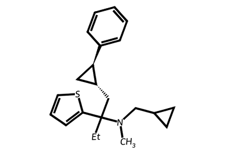 CCC(C[C@@H]1C[C@H]1c1ccccc1)(c1cccs1)N(C)CC1CC1